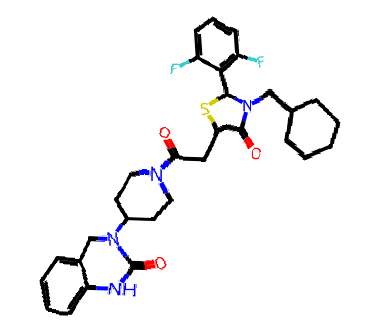 O=C(CC1SC(c2c(F)cccc2F)N(CC2CCCCC2)C1=O)N1CCC(N2Cc3ccccc3NC2=O)CC1